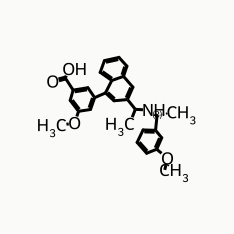 COc1cc(C(=O)O)cc(-c2cc(C(C)N[C@H](C)c3cccc(OC)c3)cc3ccccc23)c1